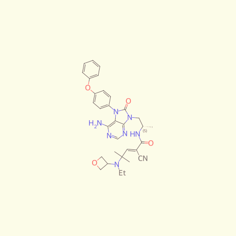 CCN(C1COC1)C(C)(C)C=C(C#N)C(=O)N[C@@H](C)Cn1c(=O)n(-c2ccc(Oc3ccccc3)cc2)c2c(N)ncnc21